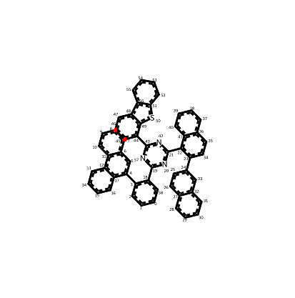 c1ccc(-c2cc3ccccc3c3ccccc23)c(-c2nc(-c3c(-c4ccc5ccccc5c4)ccc4ccccc34)nc(-c3cccc4c3sc3ccccc34)n2)c1